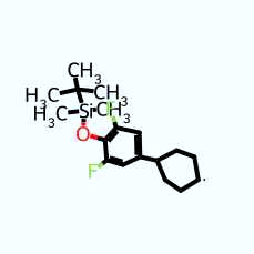 CC(C)(C)[Si](C)(C)Oc1c(F)cc(C2CC[CH]CC2)cc1F